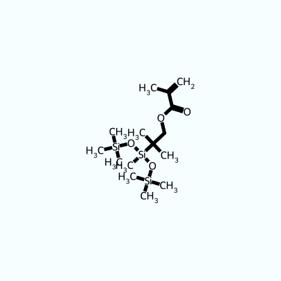 C=C(C)C(=O)OCC(C)(C)[Si](C)(O[Si](C)(C)C)O[Si](C)(C)C